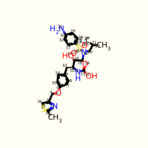 Cc1nc(COc2ccc(C[C@H](NC(=O)O)[C@@H](O)CN(CC(C)C)S(=O)(=O)c3ccc(N)cc3)cc2)cs1